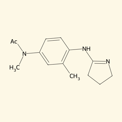 CC(=O)N(C)c1ccc(NC2=NCCC2)c(C)c1